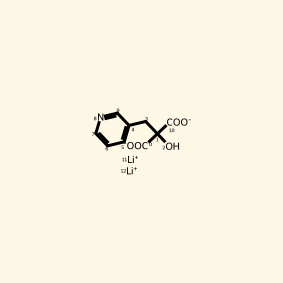 O=C([O-])C(O)(Cc1cccnc1)C(=O)[O-].[Li+].[Li+]